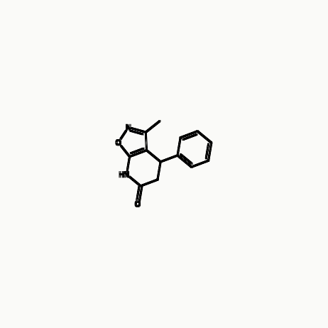 Cc1noc2c1C(c1ccccc1)CC(=O)N2